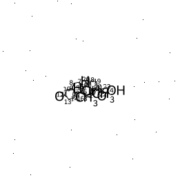 C[C@]12CCC3(O)[C@@H](CCC4=CC(=O)CC[C@@]43C)[C@@H]1CC[C@@H]2C(=O)CO